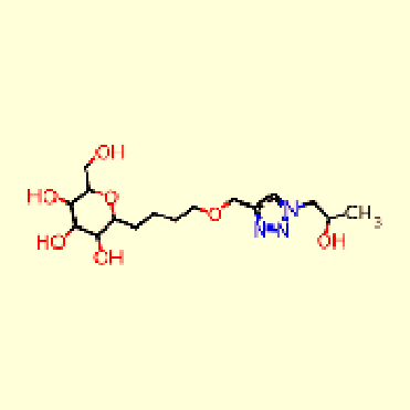 CC(O)Cn1cc(COCCCCC2OC(CO)C(O)C(O)C2O)nn1